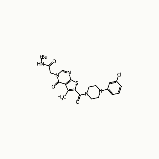 Cc1c(C(=O)N2CCN(c3cccc(Cl)c3)CC2)sc2ncn(CC(=O)NC(C)(C)C)c(=O)c12